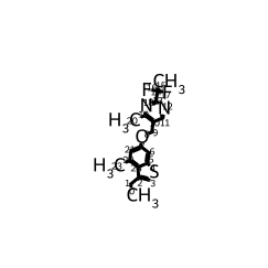 CCc1csc2cc(OCc3cnc(C(C)(F)F)nc3C)cc(C)c12